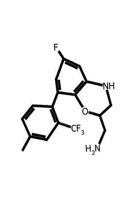 Cc1ccc(-c2cc(F)cc3c2OC(CN)CN3)c(C(F)(F)F)c1